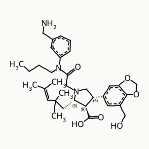 CCCCN(C(=O)CN1C[C@H](c2cc(CO)c3c(c2)OCO3)[C@@H](C(=O)O)[C@@H]1CC(C)(C)C=C(C)C)c1cccc(CN)c1